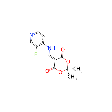 CC1(C)OC(=O)C(=CNc2ccncc2F)C(=O)O1